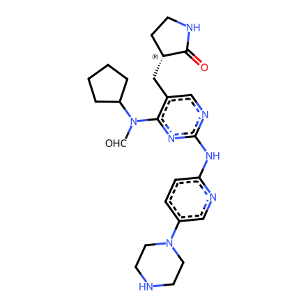 O=CN(c1nc(Nc2ccc(N3CCNCC3)cn2)ncc1C[C@@H]1CCNC1=O)C1CCCC1